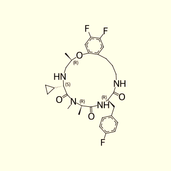 C[C@@H]1CN[C@@H](C2CC2)C(=O)N(C)[C@H](C)C(=O)N[C@H](Cc2ccc(F)cc2)C(=O)NCCCc2cc(F)c(F)cc2O1